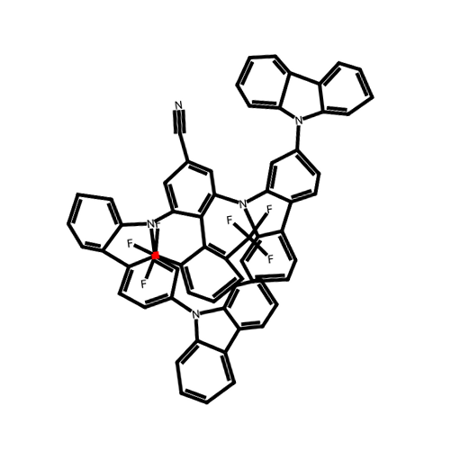 N#Cc1cc(-n2c3ccccc3c3ccc(-n4c5ccccc5c5ccccc54)cc32)c(-c2c(C(F)(F)F)cccc2C(F)(F)F)c(-n2c3ccccc3c3ccc(-n4c5ccccc5c5ccccc54)cc32)c1